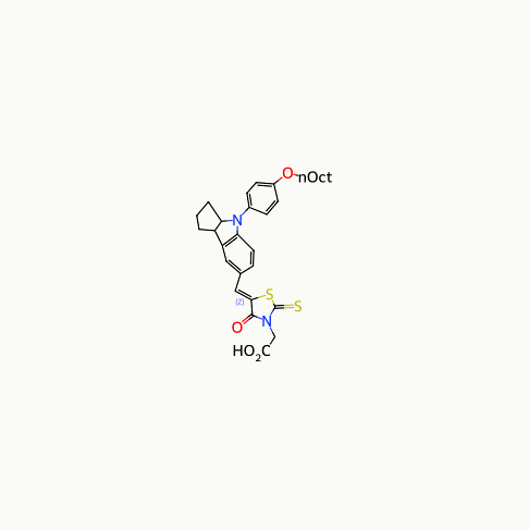 CCCCCCCCOc1ccc(N2c3ccc(/C=C4\SC(=S)N(CC(=O)O)C4=O)cc3C3CCCC32)cc1